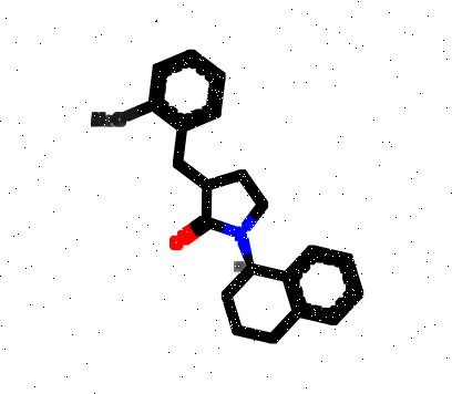 COc1ccccc1CC1CCN([C@@H]2CCCc3ccccc32)C1=O